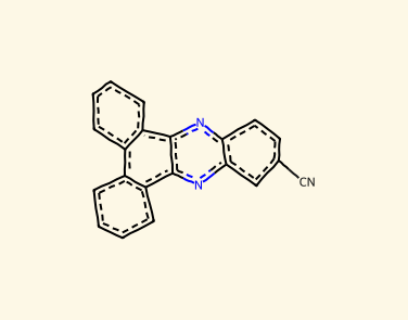 N#Cc1ccc2nc3c4ccccc4c4ccccc4c3nc2c1